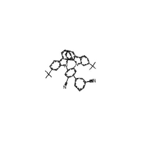 CC(C)(C)c1ccc2c3ccccc3n(-c3cc(C#N)c(-c4cccc(C#N)c4)cc3-n3c4ccccc4c4ccc(C(C)(C)C)cc43)c2c1